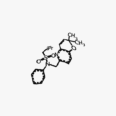 CC(C)CS(=O)(=O)N(Cc1ccc2c(n1)C=CC(C)(C)O2)c1ccccc1